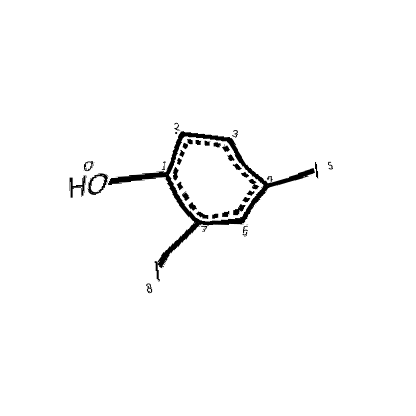 Oc1[c]cc(I)cc1I